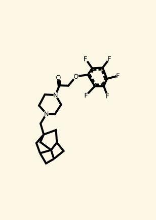 O=C(COc1c(F)c(F)c(F)c(F)c1F)N1CCN(CC23CC4CC5CC(C2)C54C3)CC1